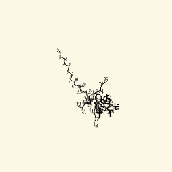 CCCCCCCCCCCCCCP(CCCC)(CCCC)(CCCC)OS(=O)(=O)C(F)(F)C(F)F